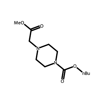 CCCCOC(=O)N1CCN(CC(=O)OC)CC1